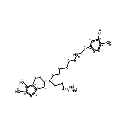 Br.Br.CCCN(CCCCCCNCCc1ccc(O)c(Cl)c1)[C@H]1CCc2c(ccc(O)c2O)C1